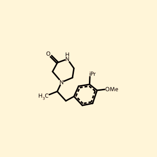 COc1ccc(CC(C)N2CCNC(=O)C2)cc1C(C)C